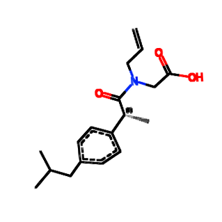 C=CCN(CC(=O)O)C(=O)[C@H](C)c1ccc(CC(C)C)cc1